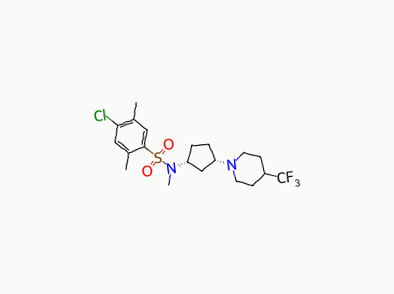 Cc1cc(S(=O)(=O)N(C)[C@@H]2CC[C@H](N3CCC(C(F)(F)F)CC3)C2)c(C)cc1Cl